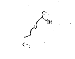 CCCCOCC(C)S